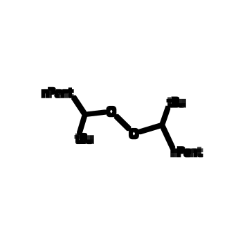 CCCCCC(OOC(CCCCC)C(C)(C)C)C(C)(C)C